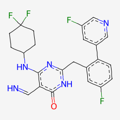 N=Cc1c(NC2CCC(F)(F)CC2)nc(Cc2cc(F)ccc2-c2cncc(F)c2)[nH]c1=O